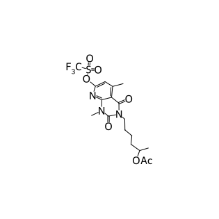 CC(=O)OC(C)CCCCn1c(=O)c2c(C)cc(OS(=O)(=O)C(F)(F)F)nc2n(C)c1=O